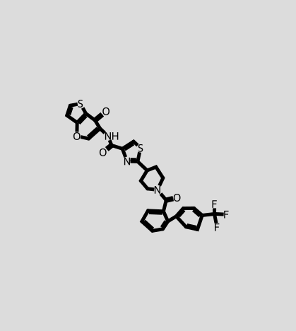 O=C(Nc1coc2ccsc2c1=O)c1csc(C2CCN(C(=O)c3ccccc3-c3ccc(C(F)(F)F)cc3)CC2)n1